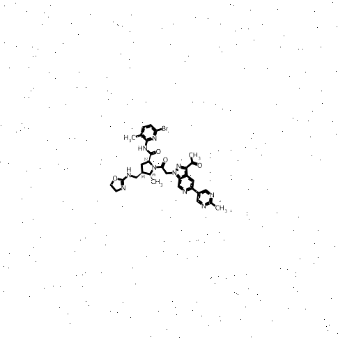 CC(=O)c1nn(CC(=O)N2[C@H](C)[C@@H](CNC3=NCCO3)C[C@H]2C(=O)Nc2nc(Br)ccc2C)c2cnc(-c3cnc(C)nc3)cc12